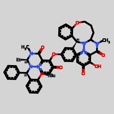 CCCCOc1ccccc1[C@@H](c1ccccc1)N1[C@@H](CC)N(C)C(=O)c2c(Oc3cccc([C@@H]4c5ccccc5OCCCC5N(C)C(=O)c6c(O)c(=O)ccn6N54)c3)c(=O)ccn21